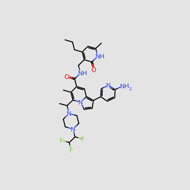 CCCc1cc(C)[nH]c(=O)c1CNC(=O)c1cc2c(-c3ccc(N)nc3)ccn2c(C(C)N2CCN(C(F)C(F)F)CC2)c1C